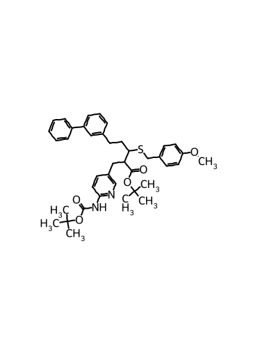 COc1ccc(CSC(CCc2cccc(-c3ccccc3)c2)C(Cc2ccc(NC(=O)OC(C)(C)C)nc2)C(=O)OC(C)(C)C)cc1